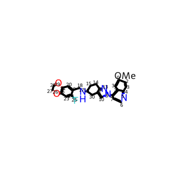 COc1ccc2nccc(-n3cc4c(n3)CCC(NCc3cc5c(cc3F)OCCO5)C4)c2c1